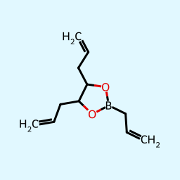 C=CCB1OC(CC=C)C(CC=C)O1